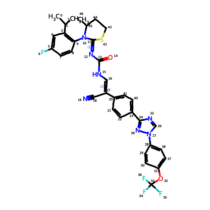 CC(C)c1cc(F)ccc1N1/C(=N/C(=O)N/C=C(\C#N)c2ccc(-c3ncn(-c4ccc(OC(F)(F)F)cc4)n3)cc2)SCCC1C